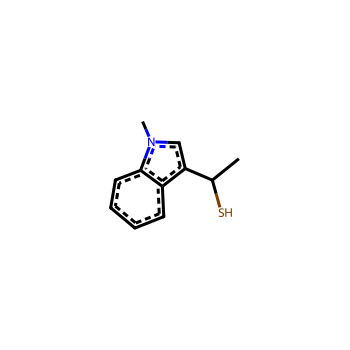 CC(S)c1cn(C)c2ccccc12